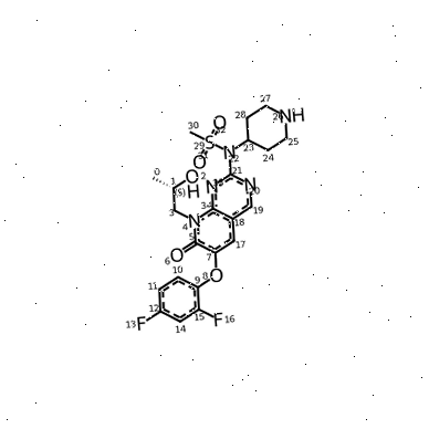 C[C@H](O)Cn1c(=O)c(Oc2ccc(F)cc2F)cc2cnc(N(C3CCNCC3)S(C)(=O)=O)nc21